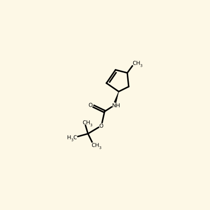 CC1C=C[C@H](NC(=O)OC(C)(C)C)C1